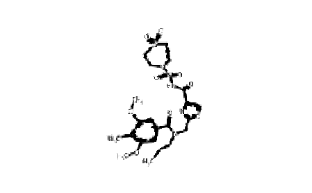 CCCN(Cc1nc(C(=O)NS(=O)(=O)N2CCS(=O)(=O)CC2)cs1)C(=O)c1cc(OC)c(C)c(OC)c1